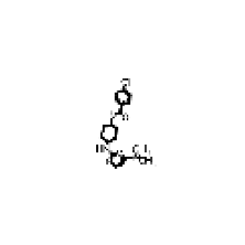 CN(C)c1ccnc(NC2CCC(NC(=O)c3ccc(Cl)cc3)CC2)n1